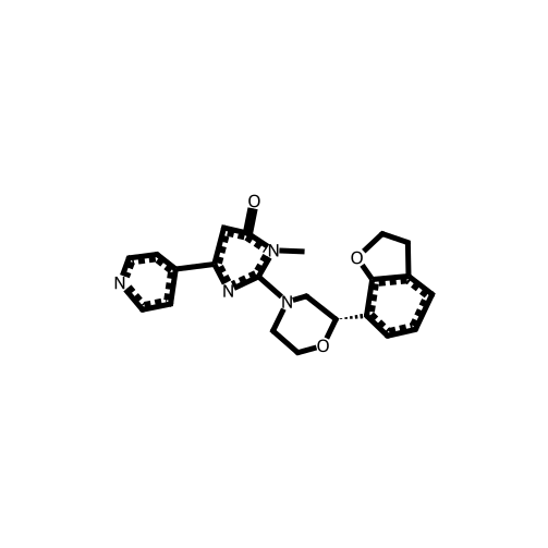 Cn1c(N2CCO[C@@H](c3cccc4c3OCC4)C2)nc(-c2ccncc2)cc1=O